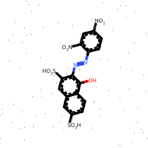 O=[N+]([O-])c1ccc(N=Nc2c(S(=O)(=O)O)cc3cc(S(=O)(=O)O)ccc3c2O)c([N+](=O)[O-])c1